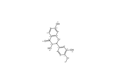 COc1ccc(C2Oc3cc(O)ccc3C(=O)C2O)cc1O